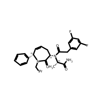 CC(C)CN1C(=O)[C@@H](N(C(=O)Cc2cc(F)cc(F)c2)[C@@H](C)C(N)=O)CC=C[C@H]1c1ccccc1